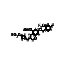 COc1cc(OCc2ccc(C)cc2C(F)(F)F)cc2c1C=C(CN1CC(C(=O)O)C1)CO2